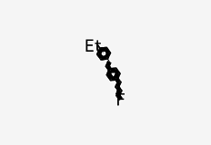 CC[C@H]1CC[C@H](CCc2ccc(CCC=CF)cc2)CC1